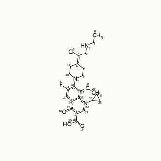 CCNCC(Cl)=C1CCN(c2c(F)cc3c(=O)c(C(=O)O)cn(C4CC4)c3c2OC)CC1